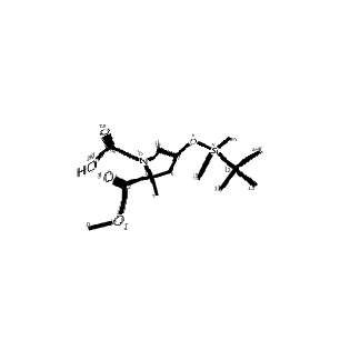 COC(=O)C1(C)CC(O[Si](C)(C)C(C)(C)C)CN1C(=O)O